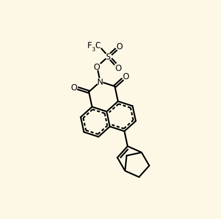 O=C1c2cccc3c(C4=CC5CCC4C5)ccc(c23)C(=O)N1OS(=O)(=O)C(F)(F)F